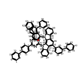 c1ccc(-c2ccc(-c3nc(-c4cccc(-c5ccccc5)c4)nc(-n4c5ccccc5c5c(-c6cccc(-c7ccccc7)c6)cc6c7ccccc7n(-c7cccc(-c8ccccc8)c7)c6c54)n3)cc2)cc1